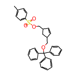 Cc1ccc(S(=O)(=O)OCC2C=CC(COC(c3ccccc3)(c3ccccc3)c3ccccc3)C2)cc1